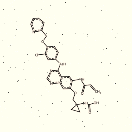 C=CC(=O)Nc1cc2c([AsH]c3ccc(OCc4ccccn4)c(Cl)c3)ncnc2cc1OCC1(NC(=O)O)CC1